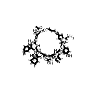 CC(=O)N[C@@H]1CCC/C=C/CO[C@H]2C[C@@H](C(N)=O)N(C2)C(=O)[C@H](Cc2ccc(O)cc2)NC(=O)[C@H](Cc2cnc[nH]2)NC(=O)[C@H](CC(=O)O)NC(=O)[C@H](Cc2c[nH]c3ccc(F)cc23)NC(=O)[C@H](Cc2c[nH]c3ccc(F)cc23)NC(=O)CNC1=O